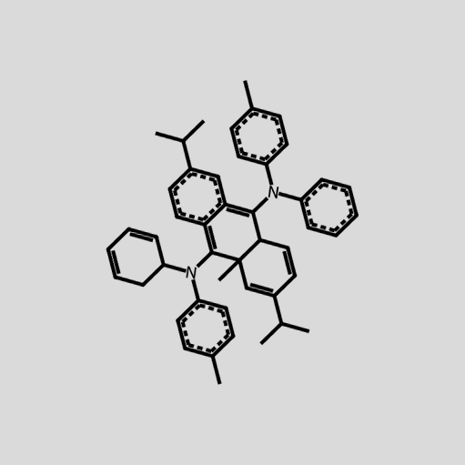 Cc1ccc(N(C2=c3cc(C(C)C)ccc3=C(N(c3ccc(C)cc3)C3C=CC=CC3)C3(C)C=C(C(C)C)C=CC23)c2ccccc2)cc1